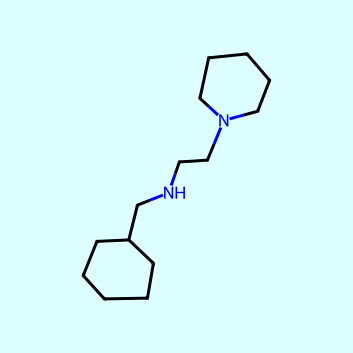 C1CCC(CNCCN2CCCCC2)CC1